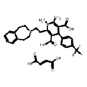 CC1=C(C(=O)O)C(c2ccc(C(F)(F)F)cc2)C(C(=O)O)=C(CCN2CCc3ccccc3CC2)N1C.O=C(O)C=CC(=O)O